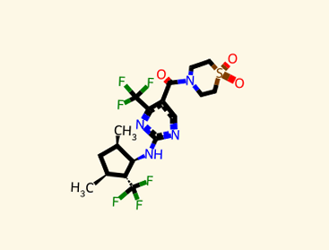 C[C@@H]1C[C@H](C)[C@@H](C(F)(F)F)[C@@H]1Nc1ncc(C(=O)N2CCS(=O)(=O)CC2)c(C(F)(F)F)n1